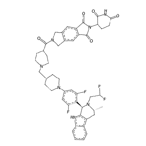 C[C@@H]1Cc2c([nH]c3ccccc23)[C@@H](c2c(F)cc(N3CCC(CN4CCC(C(=O)N5Cc6cc7c(cc6C5)C(=O)N(C5CCC(=O)NC5=O)C7=O)CC4)CC3)cc2F)N1CC(F)F